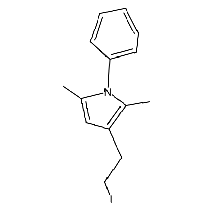 Cc1cc(CCI)c(C)n1-c1ccccc1